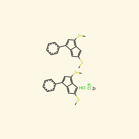 CSC1=CC2=C(SC)C=C(c3ccccc3)C2=C1.CSC1=CC2=C(SC)C=C(c3ccccc3)C2=C1.Cl.Cl.[Zr]